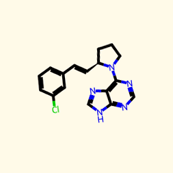 Clc1cccc(/C=C/[C@H]2CCCN2c2ncnc3[nH]cnc23)c1